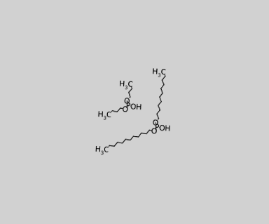 CCCCCCCCCCCCOP(O)OCCCCCCCCCCCC.CCCCOP(O)OCCCC